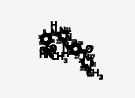 CNS(=O)(=O)c1cccc(Nc2cc(Nc3ccc(C(=O)N4CCN(C)CC4)cc3)ncn2)c1